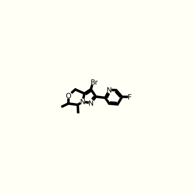 CC1OCc2c(Br)c(-c3ccc(F)cn3)nn2C1C